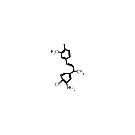 Cc1ccc(/C=C/C(c2ccc(Cl)c([N+](=O)[O-])c2)C(F)(F)F)cc1C(F)(F)F